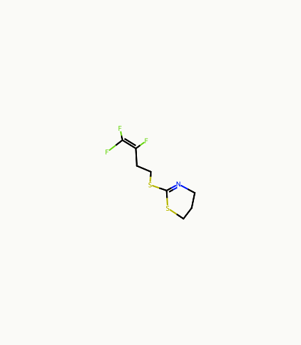 FC(F)=C(F)CCSC1=NCCCS1